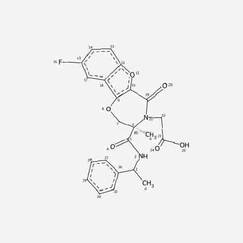 CC(NC(=O)[C@@]1(C)COc2c(oc3ccc(F)cc23)C(=O)N1CC(=O)O)c1ccccc1